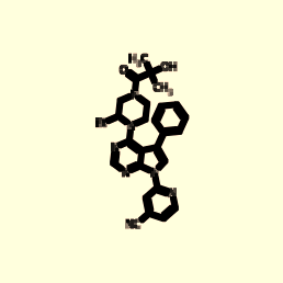 CCC1CN(C(=O)C(C)(C)O)CCN1c1ncnc2c1c(-c1ccccc1)cn2-c1cc(C#N)ccn1